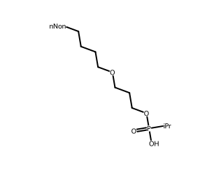 CCCCCCCCCCCCCOCCCOP(=O)(O)C(C)C